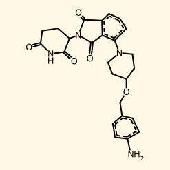 Nc1ccc(COC2CCN(c3cccc4c3C(=O)N(C3CCC(=O)NC3=O)C4=O)CC2)cc1